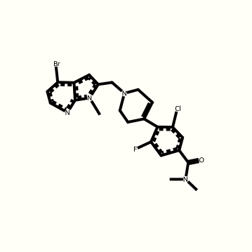 CN(C)C(=O)c1cc(F)c(C2=CCN(Cc3cc4c(Br)ccnc4n3C)CC2)c(Cl)c1